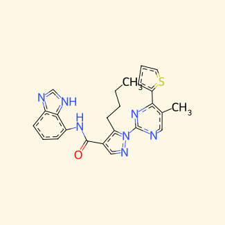 CCCCc1c(C(=O)Nc2cccc3nc[nH]c23)cnn1-c1ncc(C)c(-c2cccs2)n1